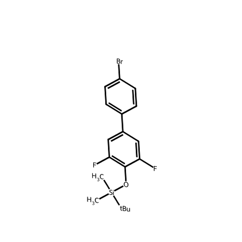 CC(C)(C)[Si](C)(C)Oc1c(F)cc(-c2ccc(Br)cc2)cc1F